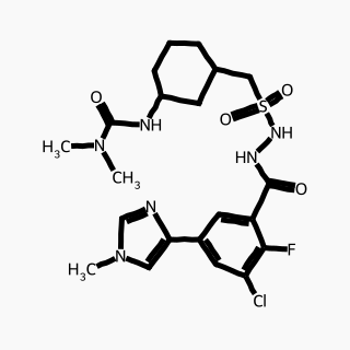 CN(C)C(=O)NC1CCCC(CS(=O)(=O)NNC(=O)c2cc(-c3cn(C)cn3)cc(Cl)c2F)C1